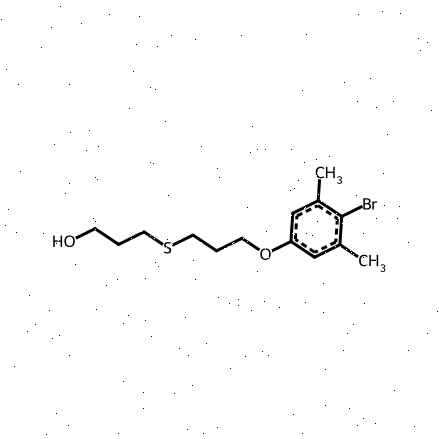 Cc1cc(OCCCSCCCO)cc(C)c1Br